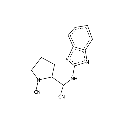 N#CC(Nc1nc2ccccc2s1)C1CCCN1C#N